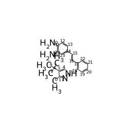 Cc1n[nH]cc1C(C)(C)C.Nc1ccc(C=Cc2ccccc2)cc1N